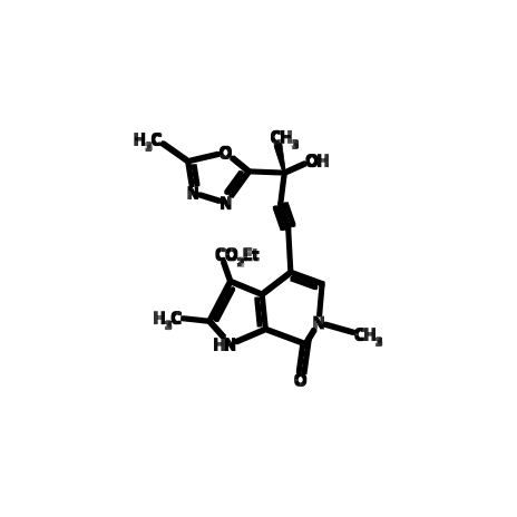 CCOC(=O)c1c(C)[nH]c2c(=O)n(C)cc(C#C[C@@](C)(O)c3nnc(C)o3)c12